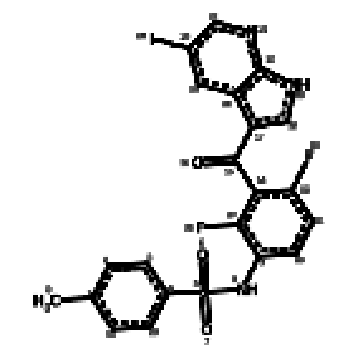 Cc1ccc(S(=O)(=O)Nc2ccc(F)c(C(=O)c3c[nH]c4ncc(I)cc34)c2F)cc1